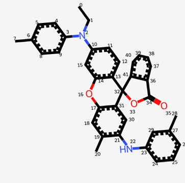 CCN(c1ccc(C)cc1)c1ccc2c(c1)Oc1cc(C)c(Nc3cccc(C)c3)cc1C21OC(=O)c2ccccc21